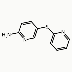 Nc1ccc(Sc2ccccn2)cn1